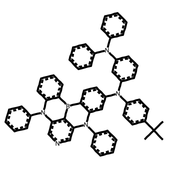 CC(C)(C)c1ccc(N(c2cccc(N(c3ccccc3)c3ccccc3)c2)c2ccc3c(c2)N(c2ccccc2)c2cncc4c2B3c2ccccc2N4c2ccccc2)cc1